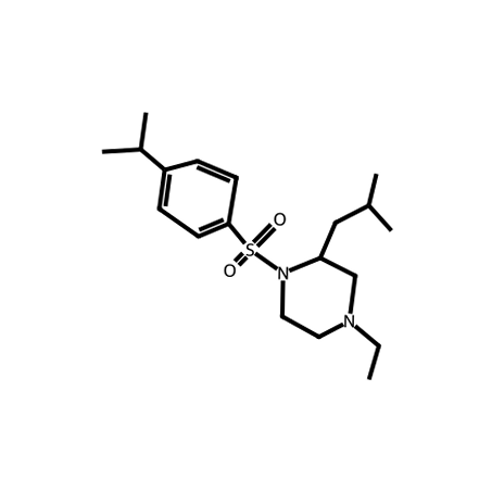 CCN1CCN(S(=O)(=O)c2ccc(C(C)C)cc2)C(CC(C)C)C1